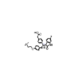 CN(C)CCOc1ccc(N/C(=C2\C(=O)Nc3cc(F)ccc32)c2ccc(CC(=O)O)cc2)cc1